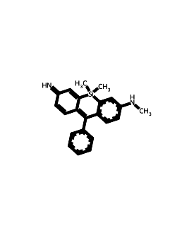 CNc1ccc2c(c1)[Si](C)(C)C1=CC(=N)C=CC1=C2c1ccccc1